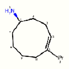 CC(C)/C1=C/CC[C@H](N)CCCC1